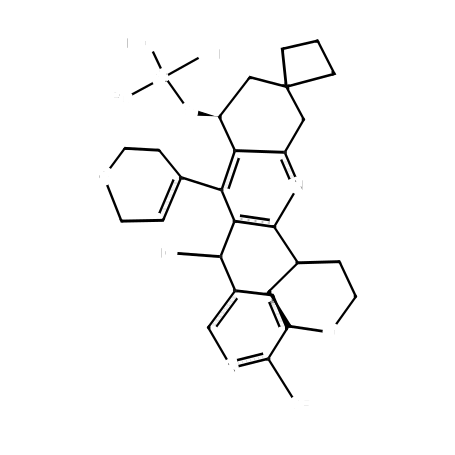 CC(C)(C)[Si](C)(C)O[C@H]1CC2(CCC2)Cc2nc(C3CCOCC3)c(C(O)c3ccc(C(F)(F)F)nc3)c(C3=CCOCC3)c21